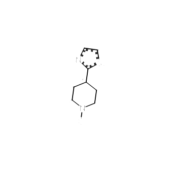 ClN1CCC(c2n[c]cs2)CC1